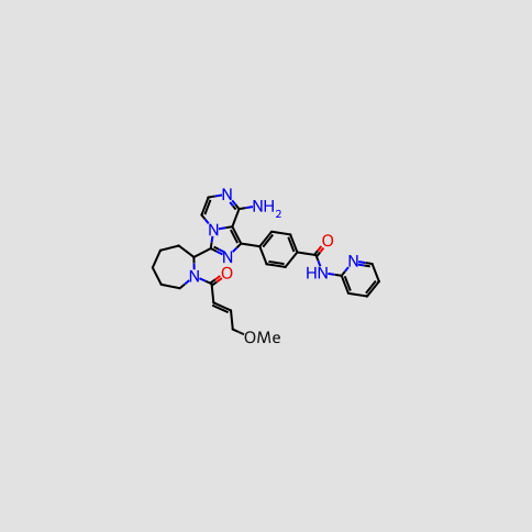 COCC=CC(=O)N1CCCCCC1c1nc(-c2ccc(C(=O)Nc3ccccn3)cc2)c2c(N)nccn12